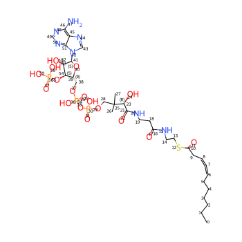 CCCCCCC=C=CCC(=O)SCCNC(=O)CCNC(=O)[C@H](O)C(C)(C)COP(=O)(O)OP(=O)(O)OC[C@H]1O[C@H](n2cnc3c(N)ncnc32)[C@H](O)[C@@H]1OP(=O)(O)O